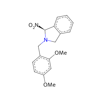 COc1ccc(CN2Cc3ccccc3[C@@H]2[N+](=O)[O-])c(OC)c1